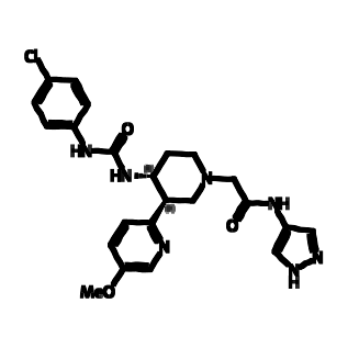 COc1ccc([C@@H]2CN(CC(=O)Nc3cn[nH]c3)CC[C@H]2NC(=O)Nc2ccc(Cl)cc2)nc1